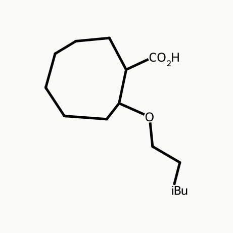 CCC(C)CCOC1CCCCCCC1C(=O)O